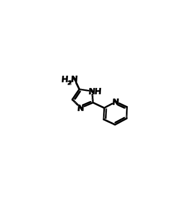 Nc1cnc(-c2ccccn2)[nH]1